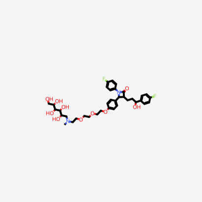 CN(CCOCCOCCOc1ccc(C2C(CCC(O)c3ccc(F)cc3)C(=O)N2c2ccc(F)cc2)cc1)CC(O)C(O)C(O)C(O)CO